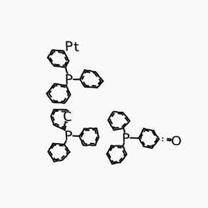 [C]=O.[Pt].c1ccc(P(c2ccccc2)c2ccccc2)cc1.c1ccc(P(c2ccccc2)c2ccccc2)cc1.c1ccc(P(c2ccccc2)c2ccccc2)cc1